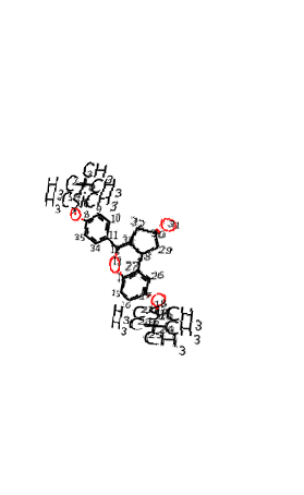 CC(C)(C)[Si](C)(C)Oc1ccc(C2Oc3ccc(O[Si](C)(C)C(C)(C)C)cc3C3CC(=O)CC32)cc1